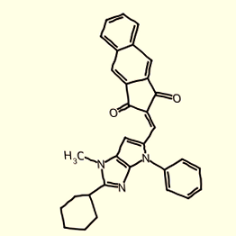 Cn1c(C2CCCCC2)nc2c1cc(C=C1C(=O)c3cc4ccccc4cc3C1=O)n2-c1ccccc1